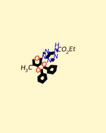 CCOC(=O)Nc1ncnc2c1ncn2[C@@H]1OC[C@@H](C)[C@H](OCc2ccccc2)C1OCc1ccccc1